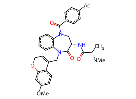 CN[C@@H](C)C(=O)N[C@H]1CN(C(=O)c2ccc(C(C)=O)cc2)c2ccccc2N(CC2=CCOc3cc(OC)ccc32)C1=O